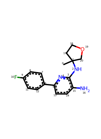 CC1(Nc2nc(-c3ccc(F)cc3)ccc2N)CCOC1